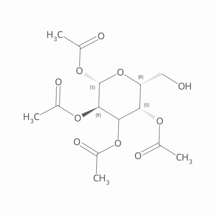 CC(=O)OC1[C@@H](OC(C)=O)[C@H](OC(C)=O)O[C@H](CO)[C@@H]1OC(C)=O